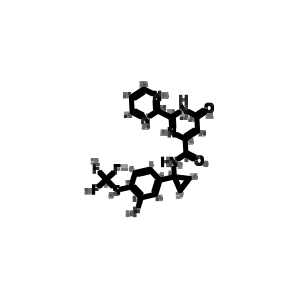 O=C(NC1(c2ccc(SC(F)(F)F)c(F)c2)CC1)c1cc(=O)[nH]c(-c2ncccn2)n1